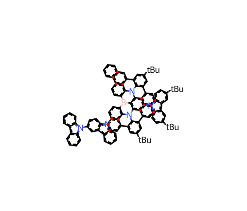 CC(C)(C)c1cc(-c2ccccc2)c(N2c3cc(-c4ccccc4)ccc3B3c4ccc(-n5c6ccccc6c6cc(-n7c8ccccc8c8ccccc87)ccc65)cc4N(c4c(-c5ccccc5)cc(C(C)(C)C)cc4-c4ccccc4)c4cc(-n5c6ccc(C(C)(C)C)cc6c6cc(C(C)(C)C)ccc65)cc2c43)c(-c2ccccc2)c1